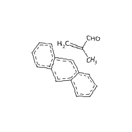 C=C(C)C=O.c1ccc2cc3ccccc3cc2c1